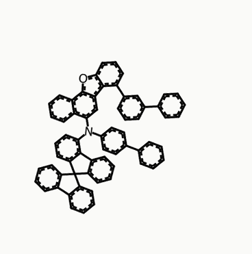 c1ccc(-c2ccc(N(c3cccc4c3-c3ccccc3C43c4ccccc4-c4ccccc43)c3cc4c(oc5cccc(-c6cccc(-c7ccccc7)c6)c54)c4ccccc34)cc2)cc1